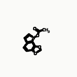 CC(=O)On1ccc2ccc3c(c21)OCO3